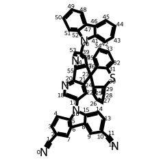 N#Cc1ccc2c(c1)c1cc(C#N)ccc1n2-c1cnc2c(c1)C1(c3ccccc3Sc3ccccc31)c1cc(-n3c4ccccc4c4ccccc43)cnc1-2